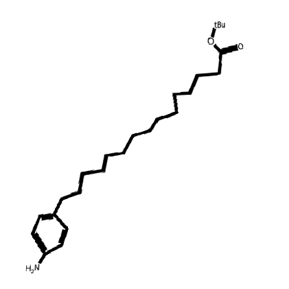 CC(C)(C)OC(=O)CCCCCCCCCCCCCCc1ccc(N)cc1